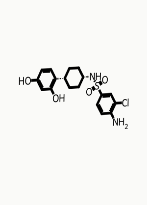 Nc1ccc(S(=O)(=O)N[C@H]2CC[C@@H](c3ccc(O)cc3O)CC2)cc1Cl